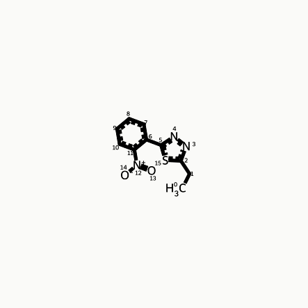 CCc1nnc(-c2ccccc2[N+](=O)[O-])s1